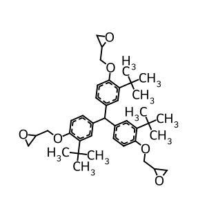 CC(C)(C)c1cc(C(c2ccc(OCC3CO3)c(C(C)(C)C)c2)c2ccc(OCC3CO3)c(C(C)(C)C)c2)ccc1OCC1CO1